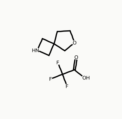 C1CC2(CNC2)CO1.O=C(O)C(F)(F)F